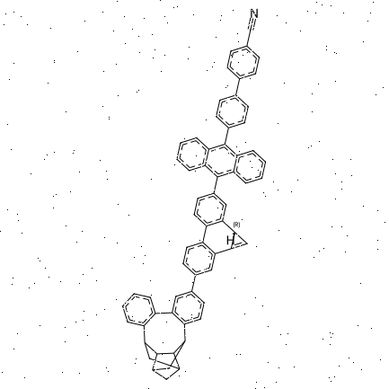 N#Cc1ccc(-c2ccc(-c3c4ccccc4c(-c4ccc5c(c4)[C@@H]4C=C4c4cc(-c6ccc7c(c6)-c6ccccc6C6CC8CC9CC7C8C96)ccc4-5)c4ccccc34)cc2)cc1